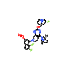 Oc1cc(N2CCc3c(nc(OC[C@@]45CCCN4C[C@H](F)C5)nc3N3C[C@H]4CC[C@@H](C3)N4)C2)c2c(F)c(F)ccc2c1